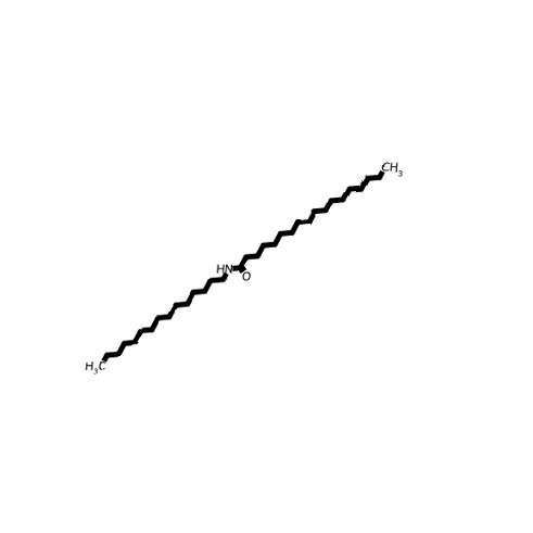 CCCCCCCCCCCCCC[CH]NC(=O)CCCCCCCCCCCCCCCCC